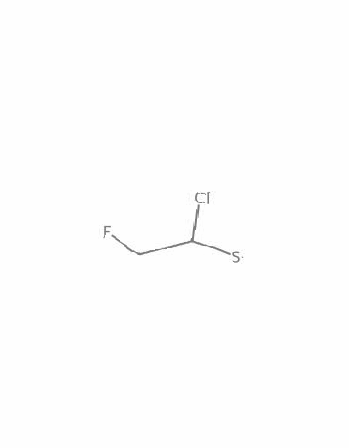 FCC([S])Cl